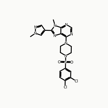 Cn1cc(-c2nc3c(N4CCN(S(=O)(=O)c5ccc(Cl)c(Cl)c5)CC4)ncnc3n2C)cn1